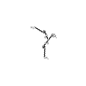 CCCCCCCCCn1cc(CCOC(=O)CCN(CCCCN(C)C)CCC(=O)OCCc2cn(CCCCCCCCC)nn2)nn1